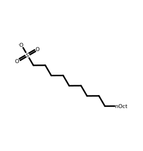 CCCCCCCCCCCCCCCCCS([O])(=O)=O